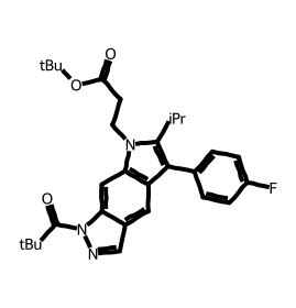 CC(C)c1c(-c2ccc(F)cc2)c2cc3cnn(C(=O)C(C)(C)C)c3cc2n1CCC(=O)OC(C)(C)C